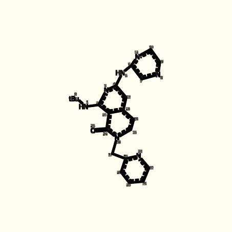 CC(C)(C)Nc1nc(Nc2cnccn2)cc2ccn(Cc3ccccn3)c(=O)c12